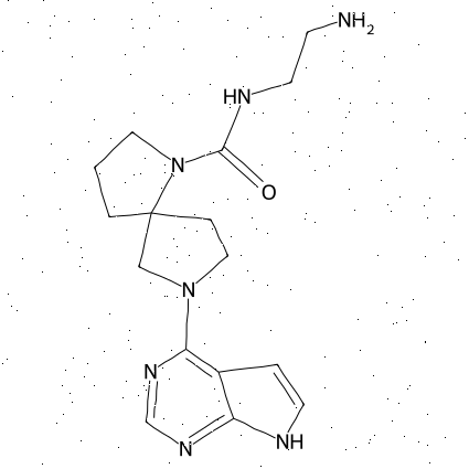 NCCNC(=O)N1CCCC12CCN(c1ncnc3[nH]ccc13)C2